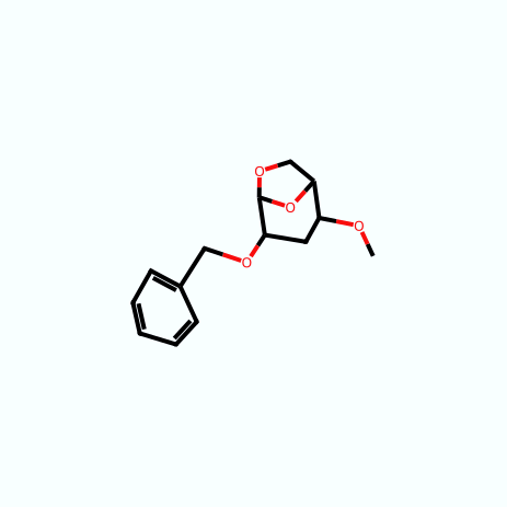 COC1CC(OCc2ccccc2)C2OCC1O2